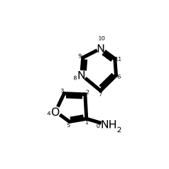 Nc1ccoc1.c1cncnc1